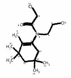 CC1=C(N(CCCl)C(=O)CCl)CC(C)(C)CC1(C)C